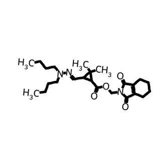 CCCCN(CCCC)N=CC1C(C(=O)OCN2C(=O)C3=C(CCCC3)C2=O)C1(C)C